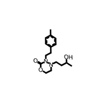 Cc1ccc(CCN2C(=O)OCCN2CCC(C)O)cc1